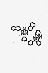 C1=CC(c2nc(-c3ccc4ccccc4c3)nc(-c3ccc4ccccc4c3)n2)CC(c2cccc(-c3nc4c(nc5ccccn54)c4ccccc34)c2)=C1